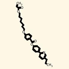 C=CC(=O)OCCCCCCCOc1ccc(C(=O)Oc2ccc(-c3ccc(CCC)cn3)cc2)cc1